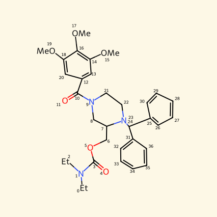 CCN(CC)C(=O)OCC1CN(C(=O)c2cc(OC)c(OC)c(OC)c2)CCN1C(c1ccccc1)c1ccccc1